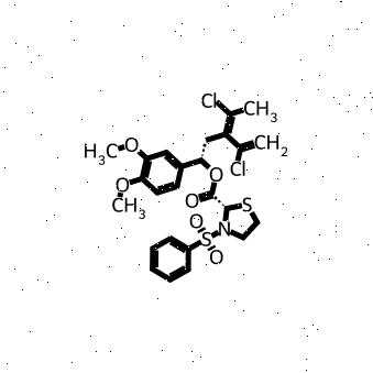 C=C(Cl)/C(C[C@H](OC(=O)[C@@H]1SCCN1S(=O)(=O)c1ccccc1)c1ccc(OC)c(OC)c1)=C(\C)Cl